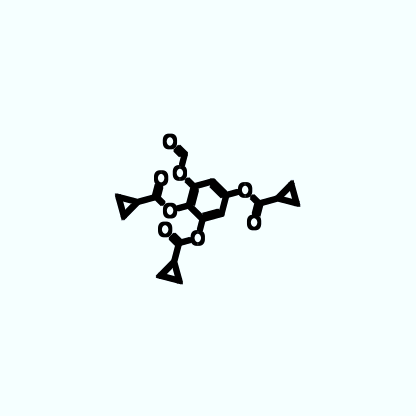 O=COc1cc(OC(=O)C2CC2)cc(OC(=O)C2CC2)c1OC(=O)C1CC1